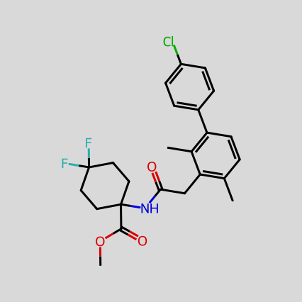 COC(=O)C1(NC(=O)Cc2c(C)ccc(-c3ccc(Cl)cc3)c2C)CCC(F)(F)CC1